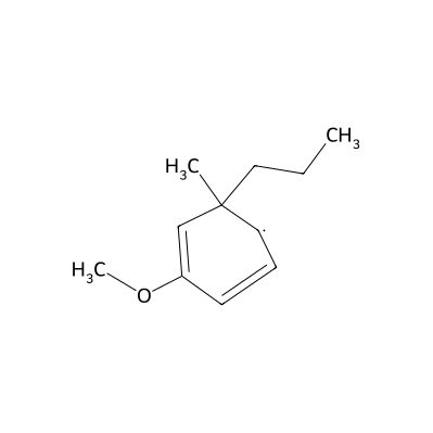 CCCC1(C)[CH]C=CC(OC)=C1